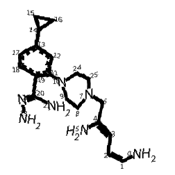 N/C=C\C=C(/N)CN1CCN(c2cc(C3CC3)ccc2/C(N)=N/N)CC1